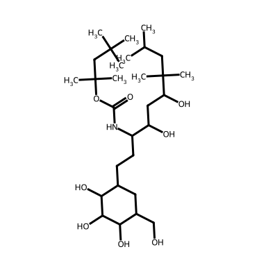 CC(C)CC(C)(C)C(O)CC(O)C(CCC1CC(CO)C(O)C(O)C1O)NC(=O)OC(C)(C)CC(C)(C)C